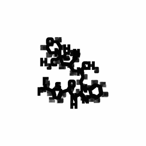 CN(CCn1c(NC(=O)c2ccc(C(F)F)s2)nc2ccccc21)CC(C#N)=CC(C)(C)N1CCOCC1